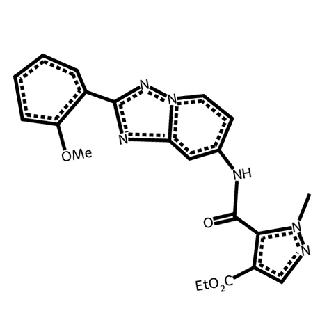 CCOC(=O)c1cnn(C)c1C(=O)Nc1ccn2nc(-c3ccccc3OC)nc2c1